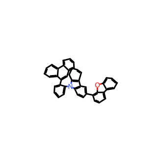 C1=Cc2c(n(-c3ccccc3-c3cc4ccccc4c4ccccc34)c3ccc(-c4cccc5c4oc4ccccc45)cc23)CC1